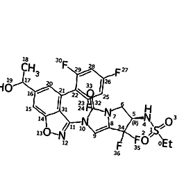 CCS(=O)(=O)N[C@@H]1Cn2c(cn(-c3noc4cc(C(C)O)cc(-c5c(F)cc(F)cc5F)c34)c2=O)C1(F)F